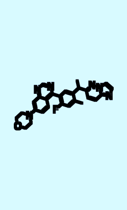 Cc1cc(F)c(-c2ncnc3cc(N4CCOCC4)ccc23)cc1C(C)c1ccc2nccn2n1